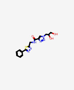 O=C(NCc1nnc(-c2ccccc2)s1)c1cn(CC(O)CO)nn1